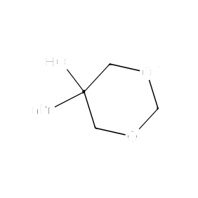 CCCC1(O)COCOC1